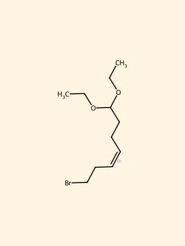 CCOC(CC/C=C\CCBr)OCC